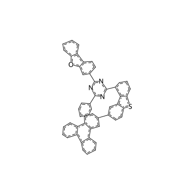 c1ccc(-c2nc(-c3ccc4c(c3)oc3ccccc34)nc(-c3cccc4sc5ccc(-c6ccc7c8ccccc8c8ccccc8c7c6)cc5c34)n2)cc1